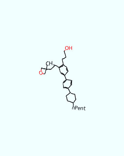 CCCCCC1CCC(c2ccc(-c3ccc(CCCO)c(CCC4(C)COC4)c3)cc2)CC1